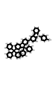 Fc1ccc(-n2c3ccccc3c3cc(-c4ccc5c(c4)C(c4ccccc4)(c4ccccc4)c4cc(C(c6ccccc6)(c6ccccc6)c6ccccc6)ccc4-5)ccc32)cc1